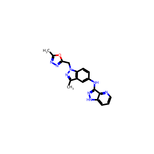 Cc1nnc(Cn2nc(C)c3cc(Nc4n[nH]c5cccnc45)ccc32)o1